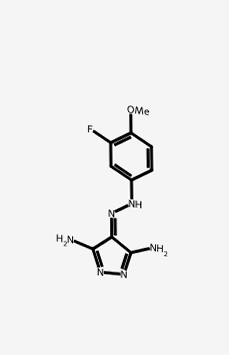 COc1ccc(NN=C2C(N)=NN=C2N)cc1F